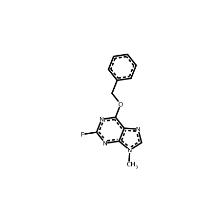 Cn1cnc2c(OCc3ccccc3)nc(F)nc21